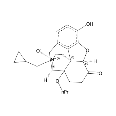 CCCOC12CCC(=O)[C@@H]3Oc4c(O)ccc5c4[C@@]31CC[N@+]([O-])(CC1CC1)[C@@H]2C5